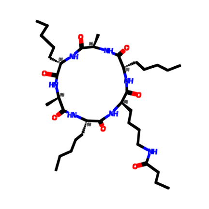 CCCCC[C@@H]1NC(=O)[C@@H](C)NC(=O)[C@H](CCCCC)NC(=O)[C@@H](CCCCNC(=O)CCC)NC(=O)[C@H](CCCCC)NC(=O)[C@@H](C)NC1=O